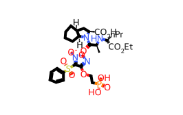 CCC[C@H](N[C@@H](C)C(=O)N1[C@H](C(=O)O)C[C@@H]2CCCC[C@@H]21)C(=O)OCC.O=P(O)(O)CCOc1no[n+]([O-])c1S(=O)(=O)c1ccccc1